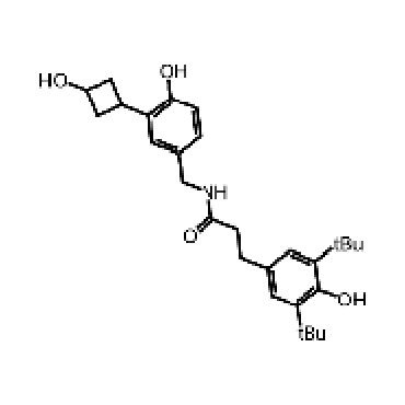 CC(C)(C)c1cc(CCC(=O)NCc2ccc(O)c(C3CC(O)C3)c2)cc(C(C)(C)C)c1O